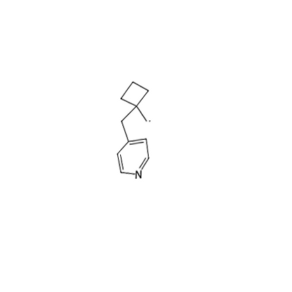 [CH2]C1(Cc2ccncc2)CCC1